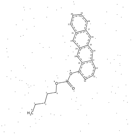 CCCCCOC(=O)Oc1cccc2cc3cc4ccccc4cc3cc12